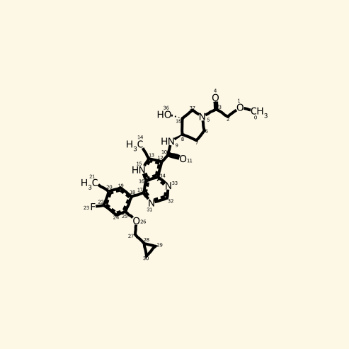 COCC(=O)N1CC[C@@H](NC(=O)c2c(C)[nH]c3c(-c4cc(C)c(F)cc4OCC4CC4)ncnc23)[C@H](O)C1